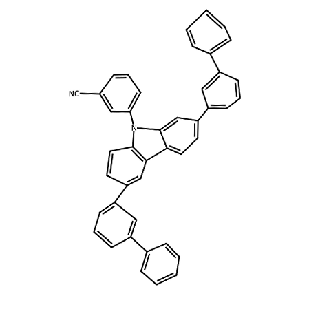 N#Cc1cccc(-n2c3ccc(-c4cccc(-c5ccccc5)c4)cc3c3ccc(-c4cccc(-c5ccccc5)c4)cc32)c1